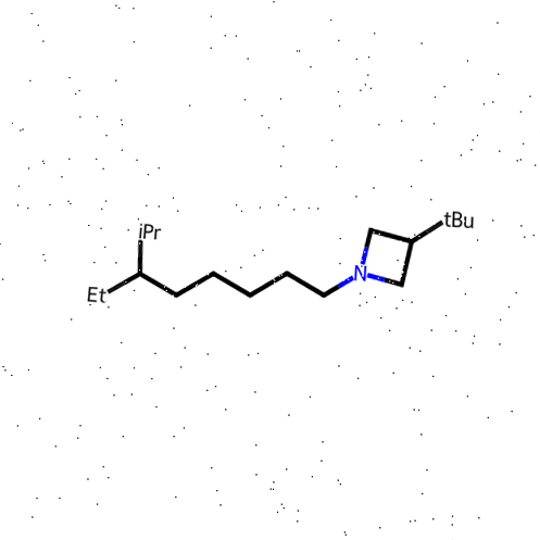 CCC(CCCCCN1CC(C(C)(C)C)C1)C(C)C